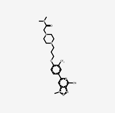 CN(C)C(=O)CN1CCN(CCCOc2ccc(-c3cc4c(nnn4C)c(C#N)n3)cc2C(F)(F)F)CC1